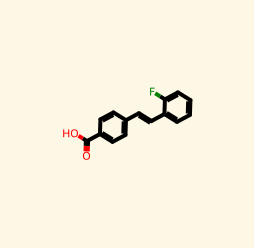 O=C(O)c1ccc(C=Cc2ccccc2F)cc1